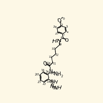 COc1ccc(C(=O)NCCCCCC(=O)N(N)c2ccccc2NN=N)cc1